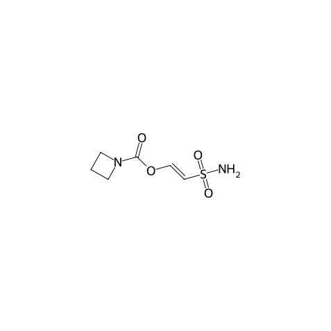 NS(=O)(=O)C=COC(=O)N1CCC1